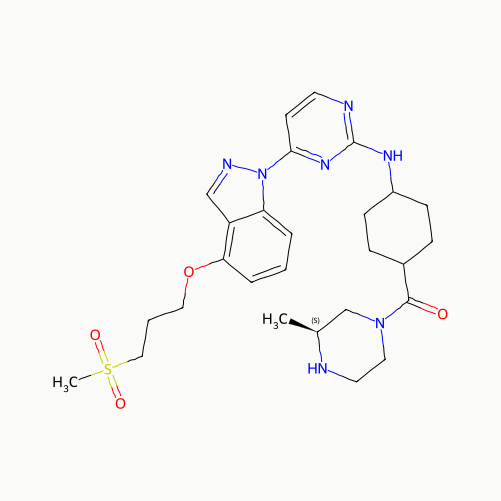 C[C@H]1CN(C(=O)C2CCC(Nc3nccc(-n4ncc5c(OCCCS(C)(=O)=O)cccc54)n3)CC2)CCN1